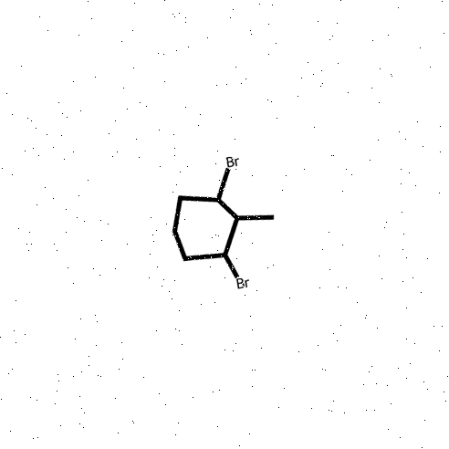 CC1C(Br)CCCC1Br